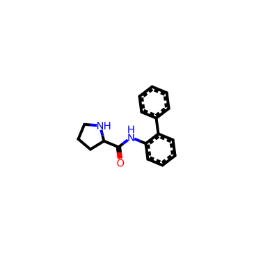 O=C(Nc1ccccc1-c1ccccc1)C1CCCN1